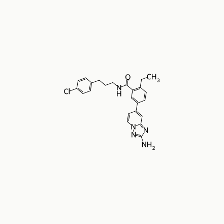 CCc1ccc(-c2ccn3nc(N)nc3c2)cc1C(=O)NCCCc1ccc(Cl)cc1